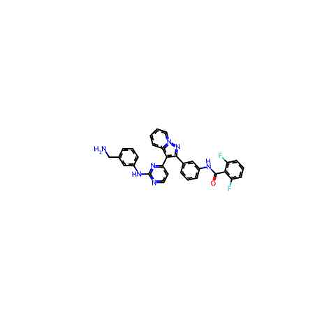 NCc1cccc(Nc2nccc(-c3c(-c4cccc(NC(=O)c5c(F)cccc5F)c4)nn4ccccc34)n2)c1